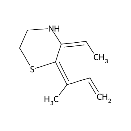 C=C/C(C)=C1/SCCN/C1=C/C